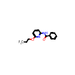 O=C(Nc1cccc(OCCC(F)(F)F)n1)c1ccccc1